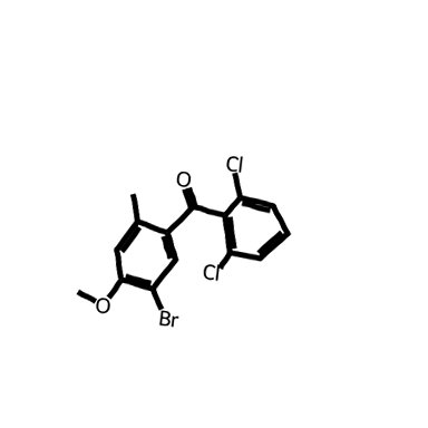 COc1cc(C)c(C(=O)c2c(Cl)cccc2Cl)cc1Br